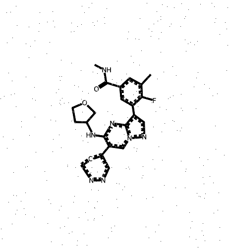 CNC(=O)c1cc(C)c(F)c(-c2cnn3cc(-c4ccnnc4)c(NC4CCOC4)nc23)c1